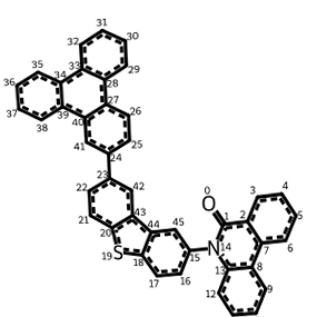 O=c1c2ccccc2c2ccccc2n1-c1ccc2sc3ccc(-c4ccc5c6ccccc6c6ccccc6c5c4)cc3c2c1